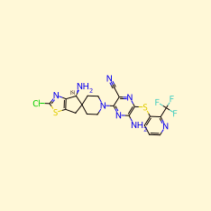 N#Cc1nc(Sc2cccnc2C(F)(F)F)c(N)nc1N1CCC2(CC1)Cc1sc(Cl)nc1[C@H]2N